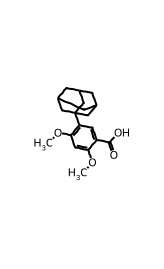 COc1cc(OC)c(C23CC4CC(CC(C4)C2)C3)cc1C(=O)O